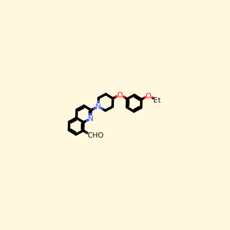 CCOc1cccc(OC2CCN(c3ccc4cccc(C=O)c4n3)CC2)c1